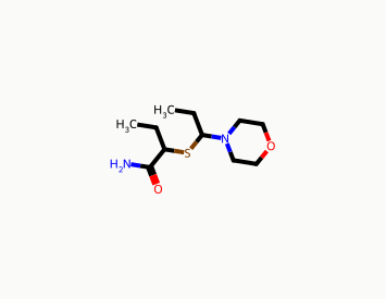 CCC(SC(CC)N1CCOCC1)C(N)=O